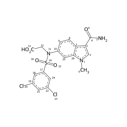 Cn1cc(C(N)=O)c2ccc(N(CC(=O)O)S(=O)(=O)c3cc(Cl)cc(Cl)c3)cc21